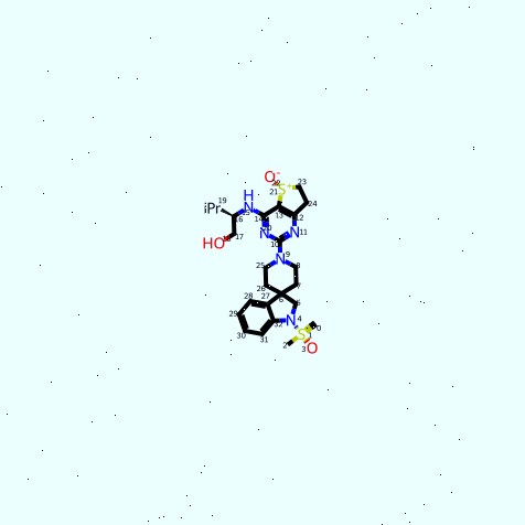 C=S(C)(=O)N1CC2(CCN(c3nc4c(c(N[C@@H](CO)C(C)C)n3)[S+]([O-])CC4)CC2)c2ccccc21